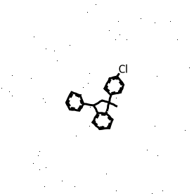 CC1(c2ccc(Cl)cc2)CC(c2ccccc2)c2ccccc21